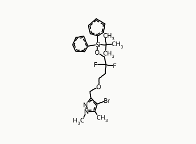 Cc1c(Br)c(COCCC(F)(F)CO[Si](c2ccccc2)(c2ccccc2)C(C)(C)C)nn1C